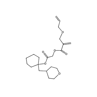 C=CCOCC(=C)C(=O)OCC(=O)OC1(CC2CCOCC2)CCCCC1